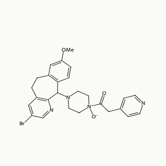 COc1ccc2c(c1)CCc1cc(Br)cnc1C2N1CC[N+]([O-])(C(=O)Cc2ccncc2)CC1